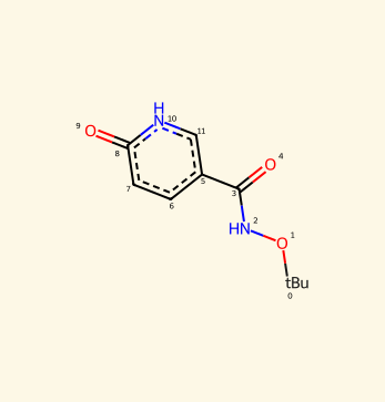 CC(C)(C)ONC(=O)c1ccc(=O)[nH]c1